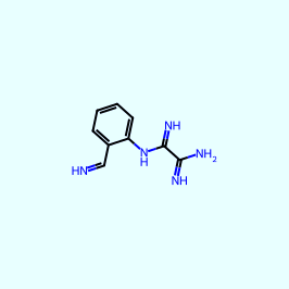 N=Cc1ccccc1NC(=N)C(=N)N